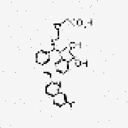 CC(c1ccccc1[C@](C)(O)CO)[C@@H](SCC1CC1CC(=O)O)c1cccc(/C=C/c2ccc3ccc(Cl)cc3n2)c1